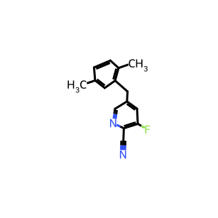 Cc1ccc(C)c(Cc2cnc(C#N)c(F)c2)c1